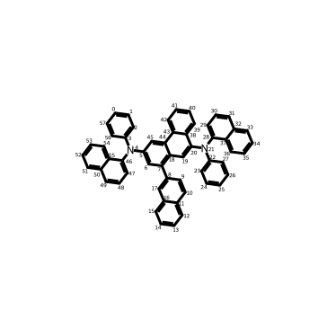 c1ccc(N(c2cc(-c3ccc4ccccc4c3)c3cc(N(c4ccccc4)c4cccc5ccccc45)c4ccccc4c3c2)c2cccc3ccccc23)cc1